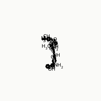 Cc1ncsc1-c1ccc(CNC(=O)[C@@H]2CCCN2C(=O)[C@@H](NC(=O)COCCNC(=O)CN2CCN(c3cc(-c4ccccc4O)nnc3N)CC2)C(C)(C)C)cc1